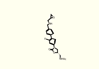 CC(=O)NC[C@H]1CN(c2ccc(-c3ccc(CNCC4CO4)cc3)c(F)c2)C(=O)O1